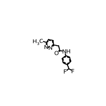 Cc1ccc(CC(=O)Nc2ccc(C(F)F)cc2)nn1